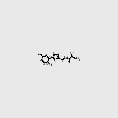 NC(=O)N/N=C/c1ccc(C2C=C(Cl)C=CC2Cl)o1